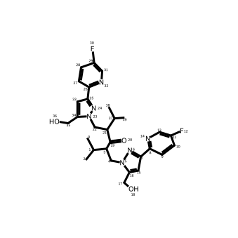 CC(C)C(Cn1nc(-c2ccc(F)cn2)cc1CO)C(=O)C(Cn1nc(-c2ccc(F)cn2)cc1CO)C(C)C